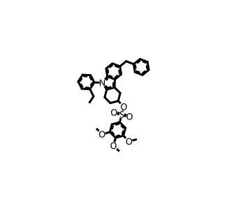 CCc1ccccc1-n1c2c(c3cc(Cc4ccccc4)ccc31)CC(OS(=O)(=O)c1cc(OC)c(OC)c(OC)c1)CC2